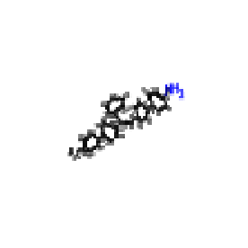 Nc1ccc(-c2ccc(/C=C(\c3ccccc3)c3ccc(-c4ccc(C(F)(F)F)cc4)cc3)cc2)cc1